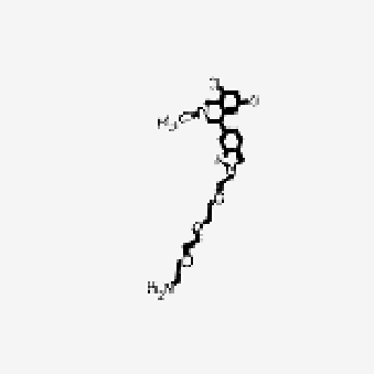 CN1Cc2c(Cl)cc(Cl)cc2C(c2ccc3cn(CCOCCOCCOCCN)nc3c2)C1